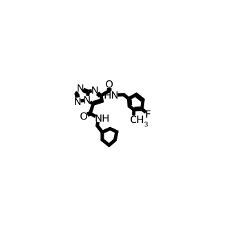 Cc1cc(CNC(=O)c2cc(C(=O)NCC3CCCCC3)n3ncnc3n2)ccc1F